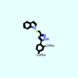 COc1ccc(-c2cc(CSn3ccc4ccccc43)n[nH]2)c(OC)c1